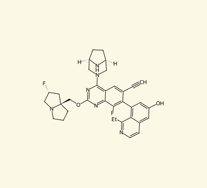 C#Cc1cc2c(N3C[C@H]4CC[C@@H](C3)N4)nc(OC[C@@]34CCCN3C[C@H](F)C4)nc2c(F)c1-c1cc(O)cc2ccnc(CC)c12